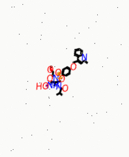 COCCN(C1(C(=O)NO)CN(C(=O)C(C)C)C1)S(=O)(=O)c1ccc(OCc2cc(C)nc3ccccc23)cc1